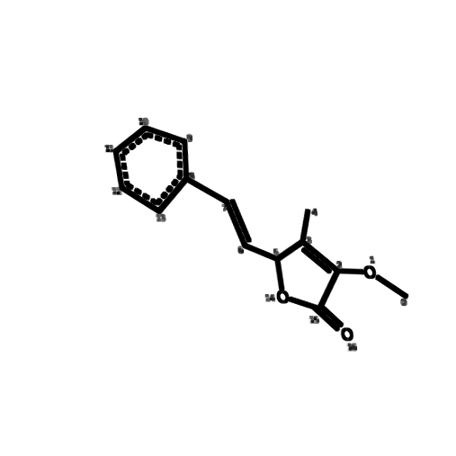 COC1=C(C)C(/C=C/c2ccccc2)OC1=O